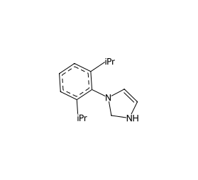 CC(C)c1cccc(C(C)C)c1N1C=CNC1